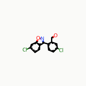 O=Cc1cc(Cl)ccc1-c1noc2cc(Cl)ccc12